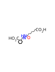 O=C(O)CCCCCC(=O)N/N=C/c1ccccc1C(=O)O